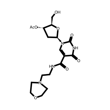 CC(=O)O[C@H]1C[C@H](n2cc(C(=O)NCCN3CCOCC3)c(=O)[nH]c2=O)O[C@@H]1CO